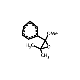 COC1(c2ccccc2)OC1(C)C